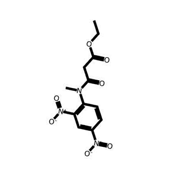 CCOC(=O)CC(=O)N(C)c1ccc([N+](=O)[O-])cc1[N+](=O)[O-]